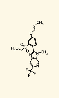 CCS(=O)(=O)c1cc(OCSC)ccc1-c1nc2cc(C(F)(F)F)ncc2n1C